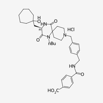 CCCCN1C(=O)[C@@H](CC2(O)CCCCCC2)NC(=O)C12CCN(Cc1ccc(CNC(=O)c3ccc(C(=O)O)cc3)cc1)CC2.Cl